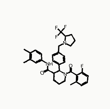 Cc1ccc(NC(=O)C2CCCN(C(=O)c3c(C)cccc3F)C2c2ccc(CN3CCCC3C(F)(F)F)cc2)cc1C